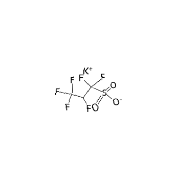 O=S(=O)([O-])C(F)(F)C(F)C(F)(F)F.[K+]